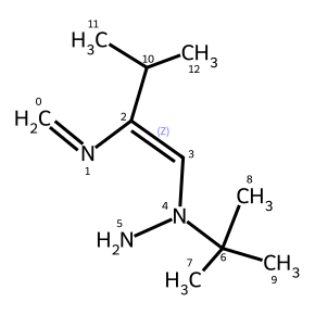 C=N/C(=C\N(N)C(C)(C)C)C(C)C